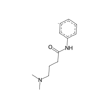 CN(C)CCCC(=O)Nc1c[c]ccc1